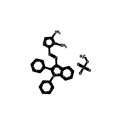 COS(=O)(=O)[O-].Cc1csc(N=Nc2c(-c3ccccc3)n(-c3ccccc3)c3ccccc23)[n+]1C